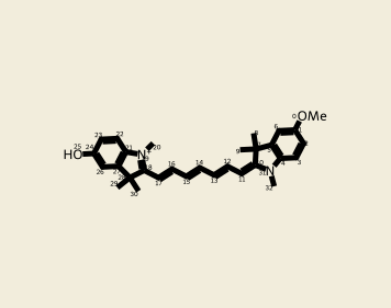 COc1ccc2c(c1)C(C)(C)\C(=C/C=C/C=C/C=C/C1=[N+](C)c3ccc(O)cc3C1(C)C)N2C